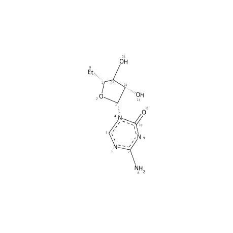 CC[C@H]1O[C@@H](n2cnc(N)nc2=O)[C@@H](O)C1O